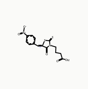 O=C(O)CCCN1C(=O)/C(=C/c2ccc([N+](=O)[O-])cc2)SC1=S